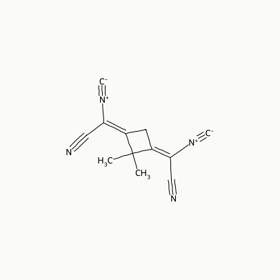 [C-]#[N+]/C(C#N)=C1\C/C(=C(/C#N)[N+]#[C-])C1(C)C